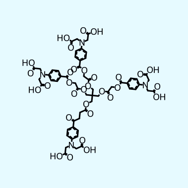 O=C(O)CN(CC(=O)O)c1ccc(C(=O)CCC(=O)OCC(COC(=O)COC(=O)c2ccc(N(CC(=O)O)CC(=O)O)cc2)(COC(=O)COC(=O)c2ccc(N(CC(=O)O)CC(=O)O)cc2)COC(=O)COC(=O)c2ccc(N(CC(=O)O)CC(=O)O)cc2)cc1